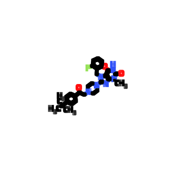 Cn1c(=O)[nH]c(=O)c2c1nc(N1CCN(CC(=O)c3ccc(C(C)(C)C)cc3)CC1)n2Cc1ccccc1F